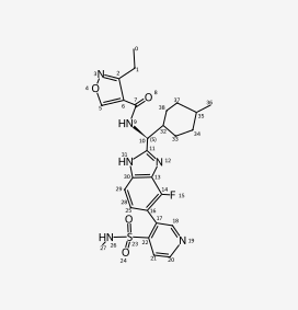 CCc1nocc1C(=O)N[C@H](c1nc2c(F)c(-c3cnccc3S(=O)(=O)NC)ccc2[nH]1)C1CCC(C)CC1